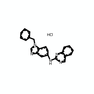 Cl.c1ccc(Cn2cnc3cc(Nc4ncc5ccccc5n4)ccc32)cc1